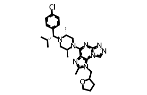 Cc1nc2c(N3C[C@@H](C)N([C@@H](c4ccc(Cl)cc4)C(C)C)C[C@@H]3C)nc3nncn3c2n1CC1CCCO1